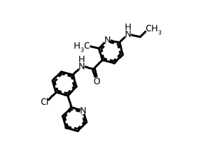 CCNc1ccc(C(=O)Nc2ccc(Cl)c(-c3ccccn3)c2)c(C)n1